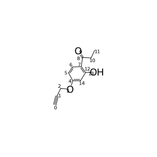 C#CCOc1ccc(C(=O)CC)c(O)c1